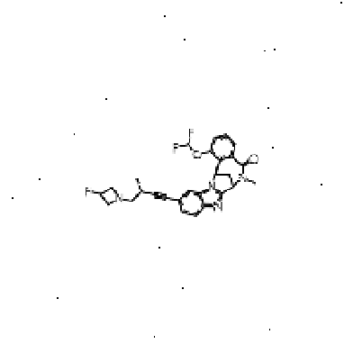 CC(C#Cc1ccc2nc3n(c2c1)C1CC3N(C)C(=O)c2cccc(OC(F)F)c21)CN1CC(F)C1